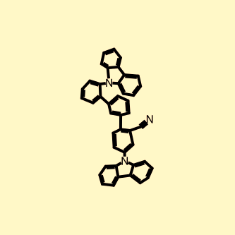 N#Cc1cc(-n2c3ccccc3c3ccccc32)ccc1-c1cccc(-c2ccccc2-n2c3ccccc3c3ccccc32)c1